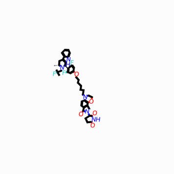 C[C@@H]1Cc2c([nH]c3ccccc23)[C@@H](c2c(F)cc(OCCCCCCCN3CCOc4c3ccc3c4CN(C4CCC(=O)NC4=O)C3=O)cc2F)N1CC(C)(C)F